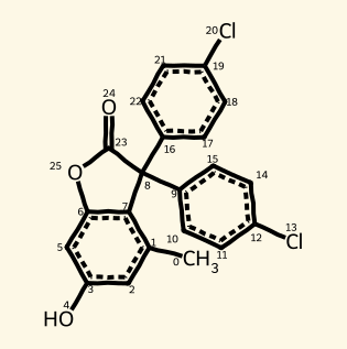 Cc1cc(O)cc2c1C(c1ccc(Cl)cc1)(c1ccc(Cl)cc1)C(=O)O2